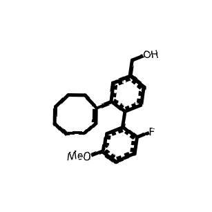 COc1ccc(F)c(-c2ccc(CO)cc2C2=CCCCCCC2)c1